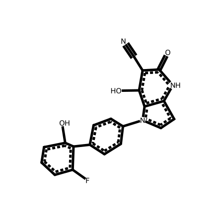 N#Cc1c(O)c2c(ccn2-c2ccc(-c3c(O)cccc3F)cc2)[nH]c1=O